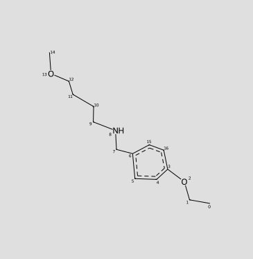 CCOc1ccc(CNCCCCOC)cc1